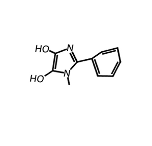 Cn1c(-c2ccccc2)nc(O)c1O